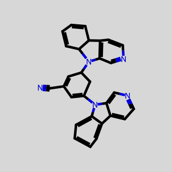 N#CC1=CC(N2c3cnccc3C3C=CC=CC32)CC(n2c3ccccc3c3ccncc32)=C1